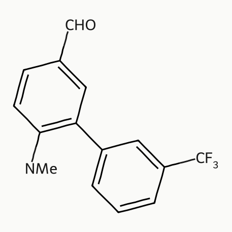 CNc1ccc(C=O)cc1-c1cccc(C(F)(F)F)c1